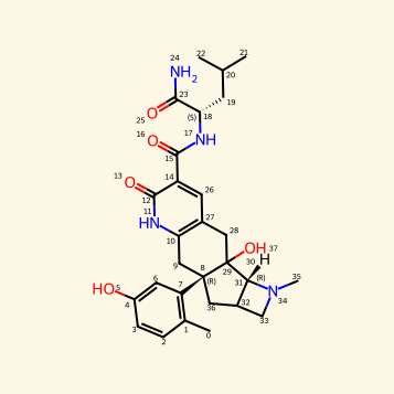 Cc1ccc(O)cc1[C@@]12Cc3[nH]c(=O)c(C(=O)N[C@@H](CC(C)C)C(N)=O)cc3CC1(O)[C@H]1C(CN1C)C2